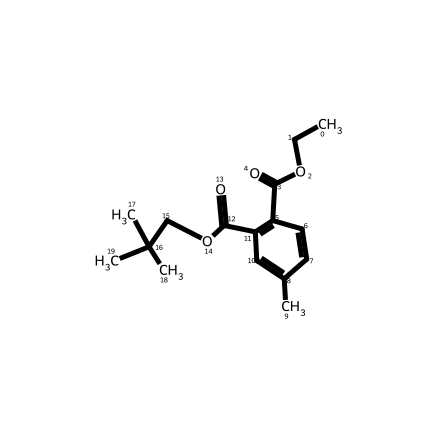 CCOC(=O)c1ccc(C)cc1C(=O)OCC(C)(C)C